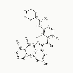 O=C(c1c(F)ccc(N[S+]([O-])C2CCCCC2)c1F)c1cn(C(=O)c2c(Cl)cccc2Cl)c2ncc(Br)cc12